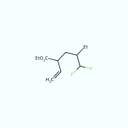 C=CC(CC(CC)C(F)F)C(=O)OCC